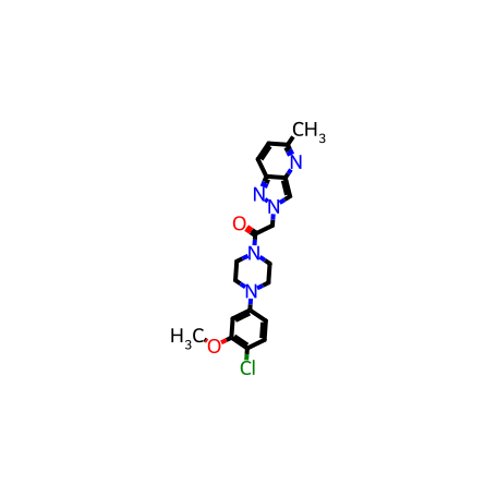 COc1cc(N2CCN(C(=O)Cn3cc4nc(C)ccc4n3)CC2)ccc1Cl